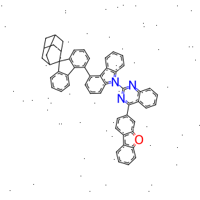 c1ccc2c(c1)-c1c(-c3cccc4c3c3ccccc3n4-c3nc(-c4ccc5c(c4)oc4ccccc45)c4ccccc4n3)cccc1C21C2CC3CC(C2)CC1C3